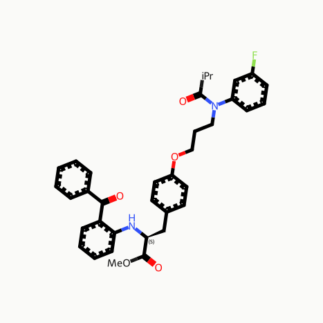 COC(=O)[C@H](Cc1ccc(OCCCN(C(=O)C(C)C)c2cccc(F)c2)cc1)Nc1ccccc1C(=O)c1ccccc1